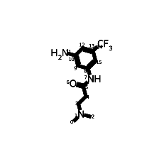 CN(C)CCC(=O)Nc1cc(N)cc(C(F)(F)F)c1